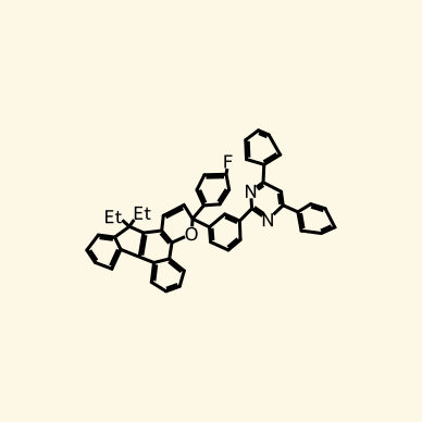 CCC1(CC)c2ccccc2-c2c1c1c(c3ccccc23)OC(c2ccc(F)cc2)(c2cccc(-c3nc(-c4ccccc4)cc(-c4ccccc4)n3)c2)C=C1